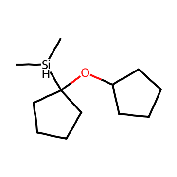 C[SiH](C)C1(OC2CCCC2)CCCC1